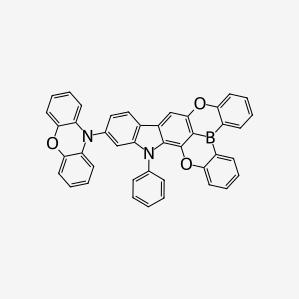 c1ccc(-n2c3cc(N4c5ccccc5Oc5ccccc54)ccc3c3cc4c5c(c32)Oc2ccccc2B5c2ccccc2O4)cc1